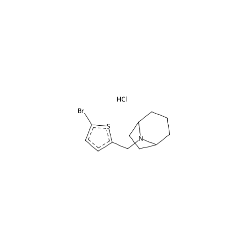 Brc1ccc(CN2C3CCCC2CC3)s1.Cl